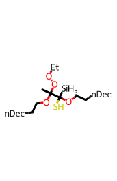 CCCCCCCCCCCCOC([SiH3])(S)C(C)(OCCCCCCCCCCCC)OOCC